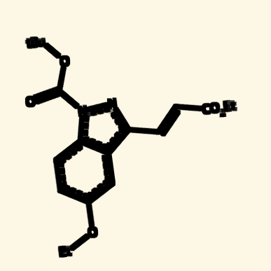 CCOC(=O)/C=C/c1nn(C(=O)OC(C)(C)C)c2ccc(OCC)cc12